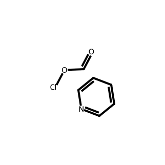 O=COCl.c1ccncc1